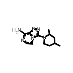 CC1CCN(c2nnc3c(N)nccn23)C(C)C1